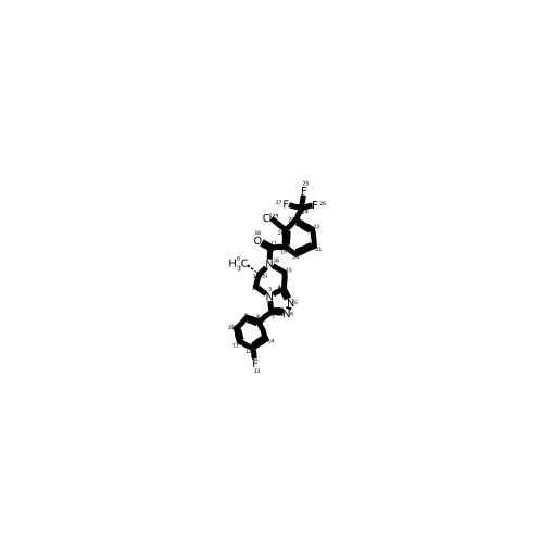 C[C@H]1Cn2c(nnc2-c2cccc(F)c2)CN1C(=O)c1cccc(C(F)(F)F)c1Cl